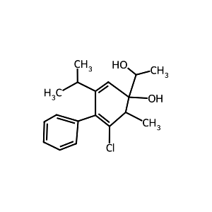 CC(C)C1=CC(O)(C(C)O)C(C)C(Cl)=C1c1ccccc1